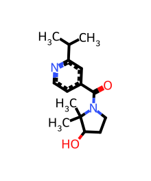 CC(C)c1cc(C(=O)N2CCC(O)C2(C)C)ccn1